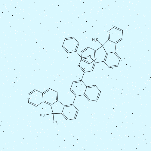 CC1(C)c2cccc(-c3ccc(-c4cc(-c5cccc6c5C(C)(c5ccccc5)c5ccccc5-6)nc(-c5ccccc5)n4)c4ccccc34)c2-c2ccc3ccccc3c21